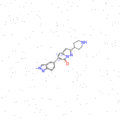 Cn1cc2cc(C3=C\C(=O)N4N=C(C5CCNCC5)C=C\C4=C/C=C/3)ccc2n1